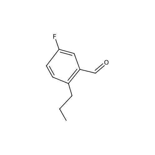 CCCc1ccc(F)cc1C=O